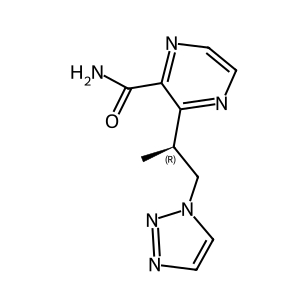 C[C@H](Cn1ccnn1)c1nccnc1C(N)=O